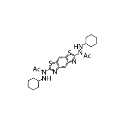 CC(=O)N(NC1CCCCC1)c1nc2cc3nc(N(NC4CCCCC4)C(C)=O)sc3cc2s1